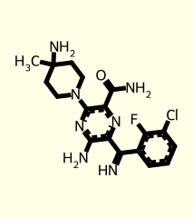 CC1(N)CCN(c2nc(N)c(C(=N)c3cccc(Cl)c3F)nc2C(N)=O)CC1